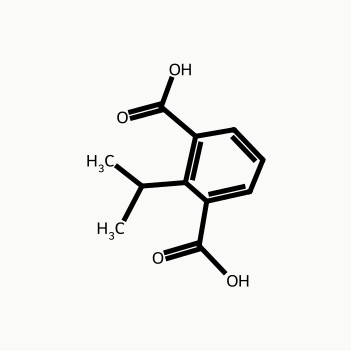 CC(C)c1c(C(=O)O)cccc1C(=O)O